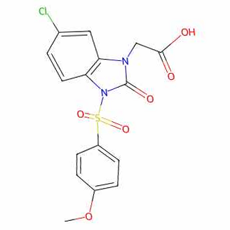 COc1ccc(S(=O)(=O)n2c(=O)n(CC(=O)O)c3cc(Cl)ccc32)cc1